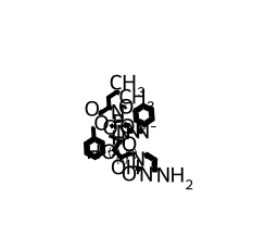 CC(C)CC(C(=O)OCc1ccccc1)N(Oc1ccccc1)[PH](=O)OC[C@@]1(N=[N+]=[N-])O[C@@H](n2ccc(N)nc2=O)[C@H](O)[C@@H]1O